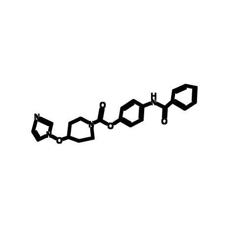 O=C(Nc1ccc(OC(=O)N2CCC(On3ccnc3)CC2)cc1)c1ccccc1